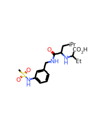 CCC(NC(CC(C)C)C(=O)NCc1cccc(NS(C)(=O)=O)c1)C(=O)O